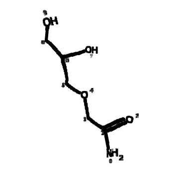 NC(=O)COCC(O)CO